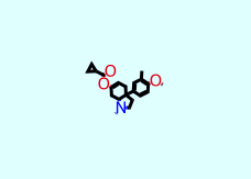 COc1ccc(C23CC=C(OC(=O)C4CC4)CC2N(C)CC3)cc1C